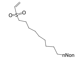 C=CS(=O)(=O)CCCCCCCCCCCCCCCCCC